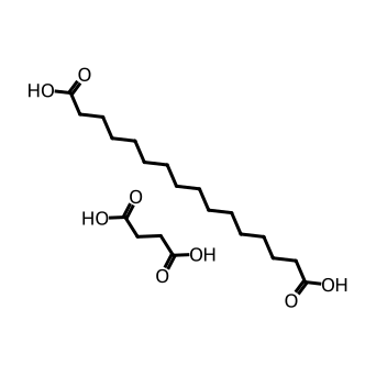 O=C(O)CCC(=O)O.O=C(O)CCCCCCCCCCCCCCC(=O)O